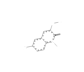 CCOc1cc2cc(N)ccc2n(C(C)C)c1=O